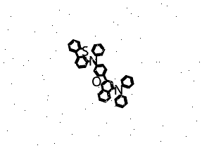 c1ccc(N(c2ccccc2)c2cc3c4ccc(N(c5ccccc5)c5cccc6c5sc5ccccc56)cc4oc3c3ccccc23)cc1